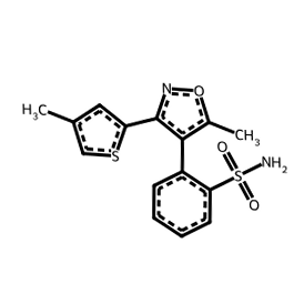 Cc1csc(-c2noc(C)c2-c2ccccc2S(N)(=O)=O)c1